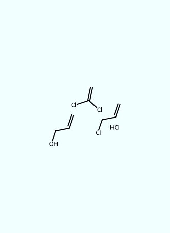 C=C(Cl)Cl.C=CCCl.C=CCO.Cl